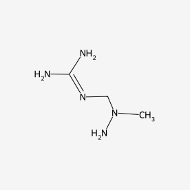 CN(N)CN=C(N)N